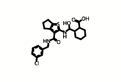 O=C(NCc1cccc(Cl)c1)c1c(NC(O)C2CCCCC2C(=O)O)sc2c1CCC2